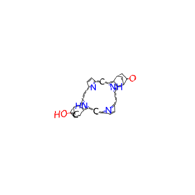 O=C1CC2C=CC1c1c2c2cc3nc(cc4[nH]c(cc5nc(cc1[nH]2)C=C5)c1c4C2C=CC1CC2O)C=C3